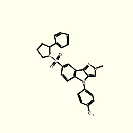 Cn1cc2c(n1)c1cc(S(=O)(=O)N3CCCC3c3ccccc3)ccc1n2-c1ccc(C(F)(F)F)cc1